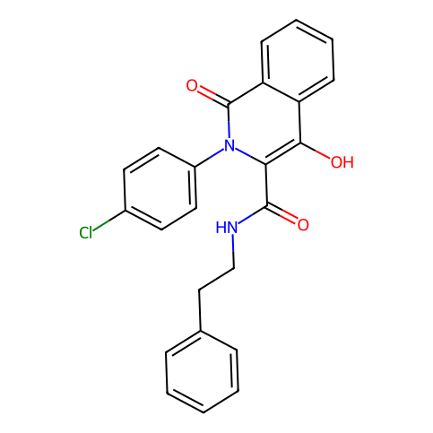 O=C(NCCc1ccccc1)c1c(O)c2ccccc2c(=O)n1-c1ccc(Cl)cc1